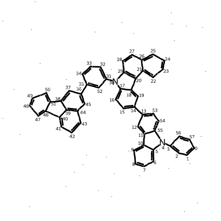 c1ccc(-n2c3ccccc3c3cc(-c4ccc5c(c4)c4c6ccccc6ccc4n5-c4cccc(-c5cc6c7c(cccc7c5)-c5ccccc5-6)c4)ccc32)cc1